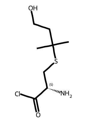 CC(C)(CCO)SC[C@H](N)C(=O)Cl